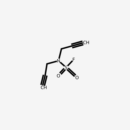 C#CCN(CC#C)S(=O)(=O)F